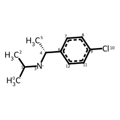 CC(C)[N][C@H](C)c1ccc(Cl)cc1